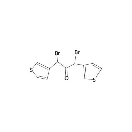 O=C(C(Br)c1ccsc1)C(Br)c1ccsc1